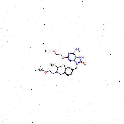 COCCOc1nc(N)c2[nH]c(=O)n(Cc3ccc(CN(CCOC)C(C)C)cc3)c2n1